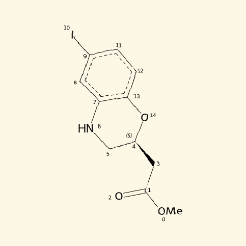 COC(=O)C[C@H]1CNc2cc(I)ccc2O1